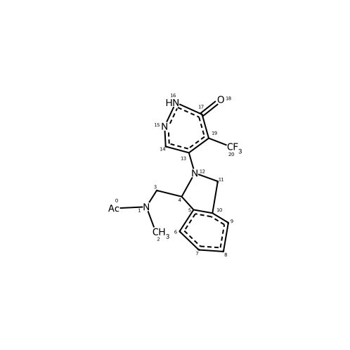 CC(=O)N(C)CC1c2ccccc2CN1c1cn[nH]c(=O)c1C(F)(F)F